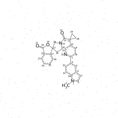 Cn1ccc2cc(-c3ccc(C4(C(=O)N5CCC6(C5)OC(=O)c5ccccc56)CC4)cn3)ccc21